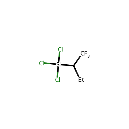 CCC(C(F)(F)F)[Si](Cl)(Cl)Cl